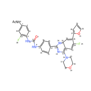 CC(=O)Nc1ccc(NC(=O)Nc2ccc(-c3nc(N4CCOCC4)c4cc(F)c(-c5ccco5)cc4n3)cc2)c(F)c1